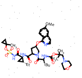 CC[C@@H]1C[C@]1(NC(=O)C1CC(Oc2nccc3cc(OC)ccc23)CN1C(=O)C(NC(=O)OC(C)(C)CN1CCOCC1)C(C)(C)C)C(=O)NS(=O)(=O)OC1(C)CC1